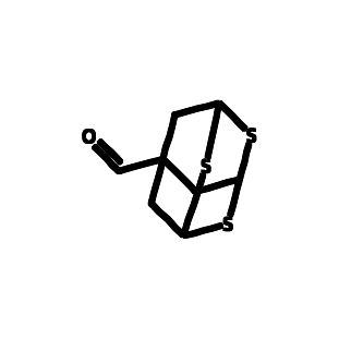 O=CC12CC3SC(C1)SC(C2)S3